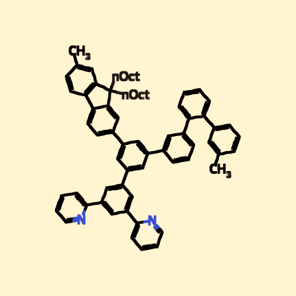 CCCCCCCCC1(CCCCCCCC)c2cc(C)ccc2-c2ccc(-c3cc(-c4cc(-c5ccccn5)cc(-c5ccccn5)c4)cc(-c4cccc(-c5ccccc5-c5cccc(C)c5)c4)c3)cc21